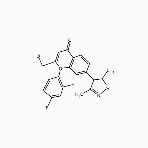 CC1=NOC(C)C1c1ccc2c(=O)cc(CO)n(-c3ccc(F)cc3F)c2c1